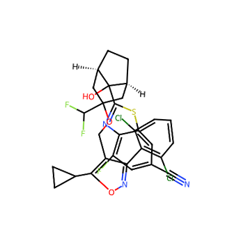 N#Cc1cc(F)c2nc(C3(O)[C@@H]4CC[C@H]3CC(OCc3c(-c5c(Cl)cccc5Cl)noc3C3CC3)(C(F)F)C4)sc2c1